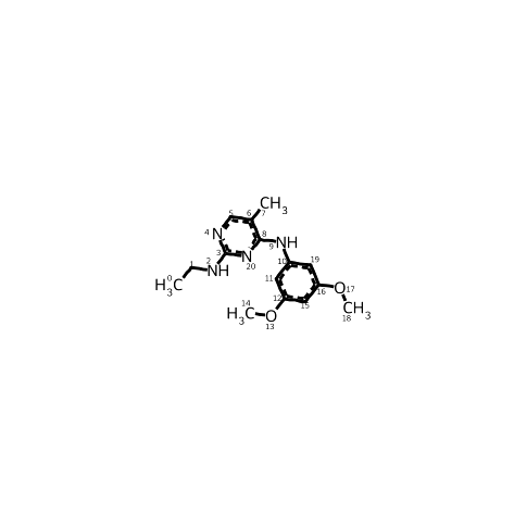 CCNc1ncc(C)c(Nc2cc(OC)cc(OC)c2)n1